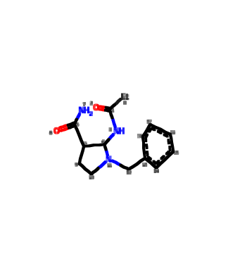 CCC(=O)NC1C(C(N)=O)CCN1Cc1ccccc1